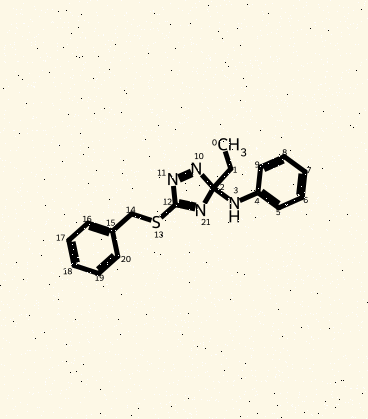 CCC1(Nc2ccccc2)N=NC(SCc2ccccc2)=N1